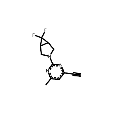 C#Cc1cc(C)nc(N2CC3C(C2)C3(F)F)n1